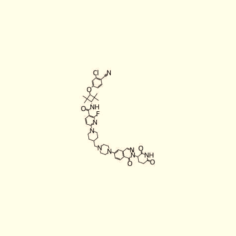 CC1(C)[C@H](NC(=O)c2ccc(N3CCC(CN4CCN(c5ccc6c(=O)n(C7CCC(=O)NC7=O)ncc6c5)CC4)CC3)nc2F)C(C)(C)[C@H]1Oc1ccc(C#N)c(Cl)c1